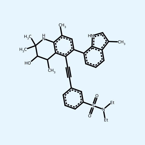 CCN(CC)S(=O)(=O)c1cccc(C#Cc2c(-c3cccc4c(C)c[nH]c34)cc(C)c3c2C(C)C(O)C(C)(C)N3)c1